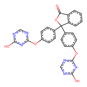 O=C1OC(c2ccc(Oc3ncnc(O)n3)cc2)(c2ccc(Oc3ncnc(O)n3)cc2)c2ccccc21